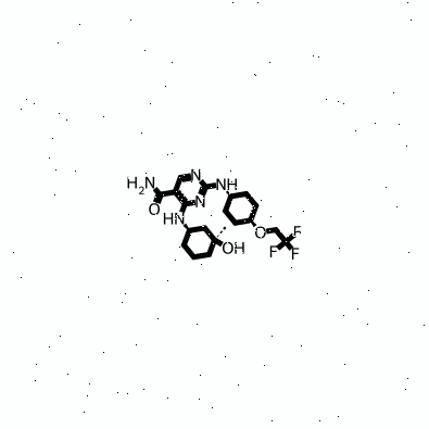 C[C@]1(O)CCC[C@@H](Nc2nc(N[C@H]3CC[C@H](OCC(F)(F)F)CC3)ncc2C(N)=O)C1